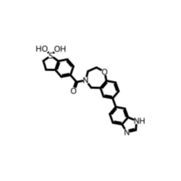 O=C(c1ccc2c(c1)CCS2(O)O)N1CCOc2ccc(-c3ccc4nc[nH]c4c3)cc2C1